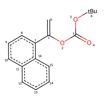 C=C(OC(=O)OC(C)(C)C)c1cccc2ccccc12